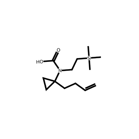 C=CCCC1(N(CC[Si](C)(C)C)C(=O)O)CC1